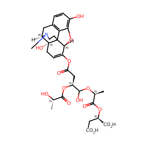 C[C@H](O)C(=O)O[C@@H](CC(=O)OC1=CC[C@@]2(O)[C@H]3Cc4ccc(O)c5c4C2(CCN3C)[C@H]1O5)C(O)O[C@@H](C)C(=O)O[C@H](CC(=O)O)C(=O)O